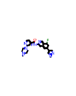 CN1CCN(c2cc(C(=O)Nc3cc4cc(-c5cnn(C)c5)cc(F)c4cn3)ccn2)CC1